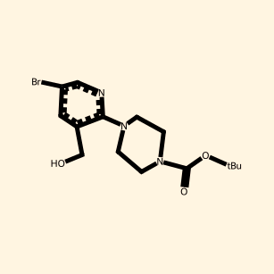 CC(C)(C)OC(=O)N1CCN(c2ncc(Br)cc2CO)CC1